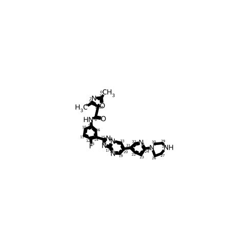 Cc1nc(C)c(C(=O)Nc2ccc(F)c(-c3nc4ncc(-c5ccc(N6CCNCC6)nc5)cn4n3)c2)o1